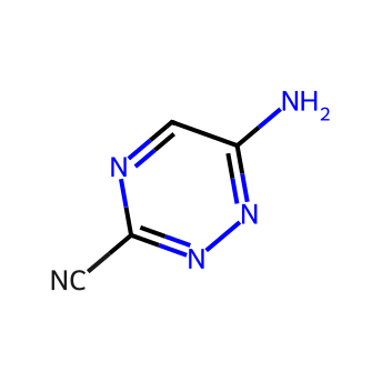 N#Cc1ncc(N)nn1